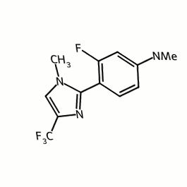 CNc1ccc(-c2nc(C(F)(F)F)cn2C)c(F)c1